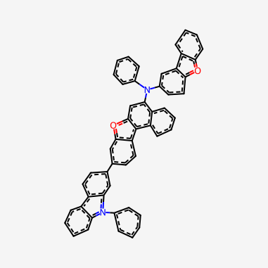 c1ccc(N(c2ccc3oc4ccccc4c3c2)c2cc3oc4cc(-c5ccc6c7ccccc7n(-c7ccccc7)c6c5)ccc4c3c3ccccc23)cc1